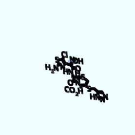 Nc1nc(/C(=N/O)C(=O)N[C@@H]2C(=O)N3C(C(=O)O)=C(SCc4cnn[nH]4)CS[C@H]23)c(Cl)s1